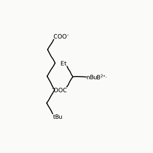 CC(C)(C)CCCCCC(=O)[O-].CCCCC(CC)C(=O)[O-].[B+2]